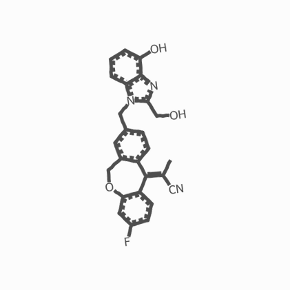 CC(C#N)=C1c2ccc(Cn3c(CO)nc4c(O)cccc43)cc2COc2cc(F)ccc21